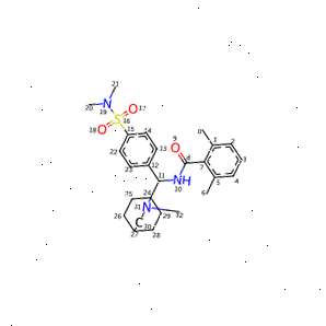 Cc1cccc(C)c1C(=O)NC(c1ccc(S(=O)(=O)N(C)C)cc1)C12CCC(CC1)CN2C